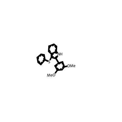 COc1cc(OC)cc(-c2[nH]c3ccccc3c2Sc2ccccc2)c1